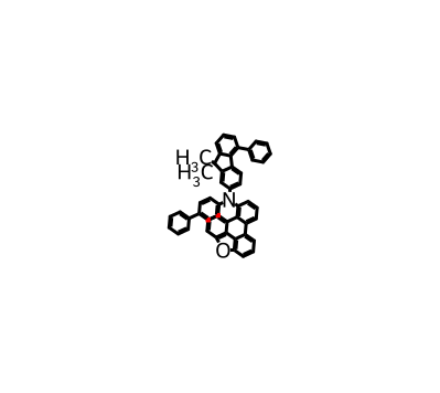 CC1(C)c2cc(N(c3ccc(-c4ccccc4)cc3)c3cccc4c5cccc6oc7cccc(c34)c7c65)ccc2-c2c(-c3ccccc3)cccc21